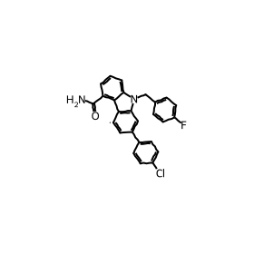 NC(=O)c1cccc2c1c1[c]cc(-c3ccc(Cl)cc3)cc1n2Cc1ccc(F)cc1